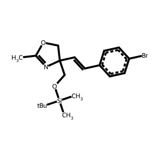 CC1=NC(C=Cc2ccc(Br)cc2)(CO[Si](C)(C)C(C)(C)C)CO1